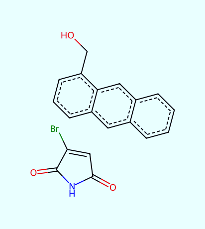 O=C1C=C(Br)C(=O)N1.OCc1cccc2cc3ccccc3cc12